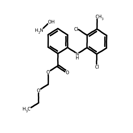 CCOCOC(=O)c1ccccc1Nc1c(Cl)ccc(C)c1Cl.NO